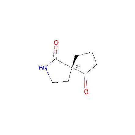 O=C1CCC[C@]12CCNC2=O